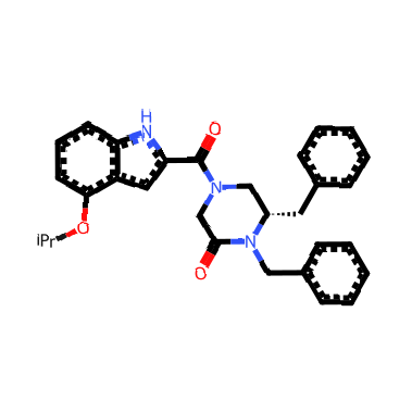 CC(C)Oc1cccc2[nH]c(C(=O)N3CC(=O)N(Cc4ccccc4)[C@@H](Cc4ccccc4)C3)cc12